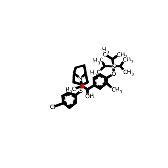 Cc1cc(C(O)C(C)N2C3CCC2CC(Sc2ccc(Cl)cc2)C3)ccc1O[Si](C(C)C)(C(C)C)C(C)C